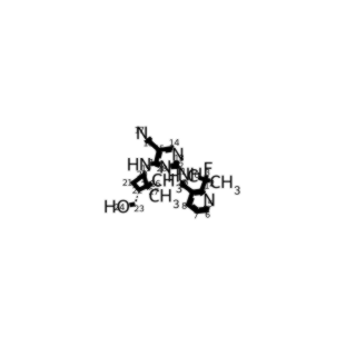 CC(C)(F)c1ncccc1CNc1ncc(C#N)c(N[C@H]2C[C@@H](CO)C2(C)C)n1